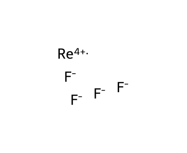 [F-].[F-].[F-].[F-].[Re+4]